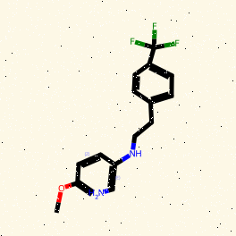 C=C(/C=C\C(=C/N)NCCc1ccc(C(F)(F)F)cc1)OC